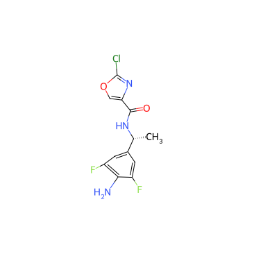 C[C@@H](NC(=O)c1coc(Cl)n1)c1cc(F)c(N)c(F)c1